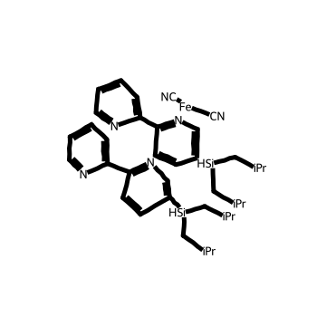 CC(C)C[SiH](CC(C)C)c1ccc(-c2ccccn2)nc1.CC(C)C[SiH](CC(C)C)c1ccc(-c2ccccn2)nc1.N#[C][Fe][C]#N